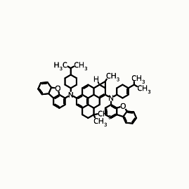 CC(C)C1=CCC(N(C2=C3CC4c5c(cc(N(c6cccc7c6OC6C=CC=CC76)C6CCC(C(C)C)CC6)c6c5C3C(C=C6)[C@@H]3C(C)C23)CCC4(C)C)c2cccc3c2oc2ccccc23)CC1